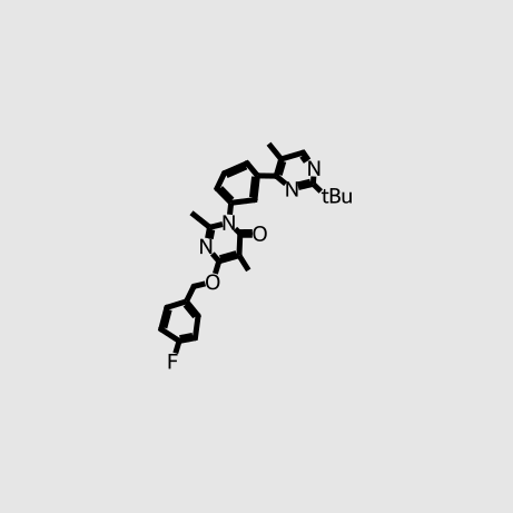 Cc1cnc(C(C)(C)C)nc1-c1cccc(-n2c(C)nc(OCc3ccc(F)cc3)c(C)c2=O)c1